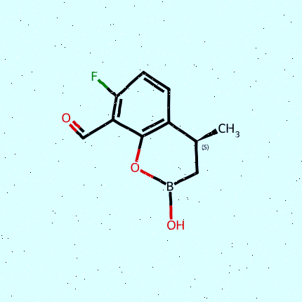 C[C@H]1CB(O)Oc2c1ccc(F)c2C=O